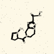 CN1C=CCC1C(=O)N1CCn2nc(C(=O)NO)nc2C1